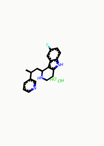 CC(CC1NCCc2[nH]c3ccc(F)cc3c21)c1cccnc1.Cl.Cl